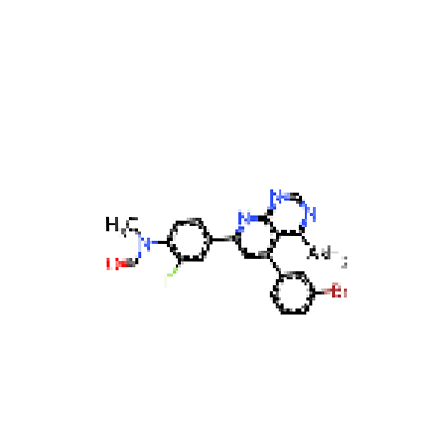 CN(C=O)c1ccc(-c2cc(-c3cccc(Br)c3)c3c([AsH2])ncnc3n2)cc1F